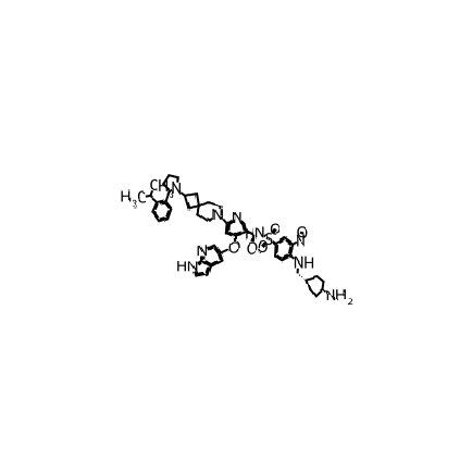 CC(C)c1ccccc1C1CCCN1C1CC2(CCN(c3cc(Oc4cnc5[nH]ccc5c4)c(C(=O)NS(=O)(=O)c4ccc(NC[C@H]5CC[C@H](N)CC5)c(N=O)c4)cn3)CC2)C1